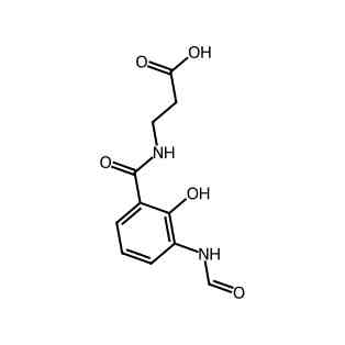 O=CNc1cccc(C(=O)NCCC(=O)O)c1O